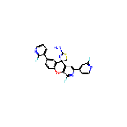 NC1=N[C@@]2(CS1)c1cc(-c3cccnc3F)ccc1Oc1c2cc(-c2ccnc(F)c2)nc1F